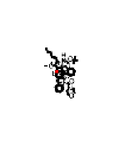 CCCCCC(=O)N(NC(=O)OC(C)(C)C)[C@](Cc1ccccc1-c1ccccc1)(C(=O)NC(Cc1ccccc1)C(=O)NC(=O)N1CCOCC1)C(C)CO